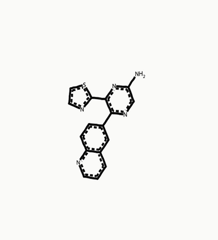 Nc1cnc(-c2ccc3ncccc3c2)c(-c2nccs2)n1